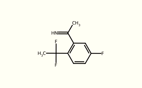 CC(=N)c1cc(F)ccc1C(C)(F)F